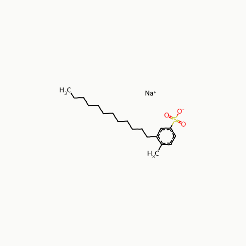 CCCCCCCCCCCCc1cc(S(=O)(=O)[O-])ccc1C.[Na+]